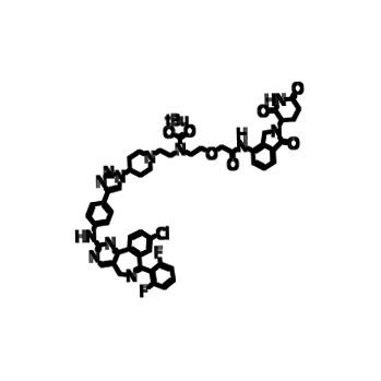 CC(C)(C)OC(=O)N(CCOCC(=O)Nc1cccc2c1CN(C1CCC(=O)NC1=O)C2=O)CCN1CCC(n2cc(-c3ccc(Nc4ncc5c(n4)-c4ccc(Cl)cc4C(c4c(F)cccc4F)=NC5)cc3)nn2)CC1